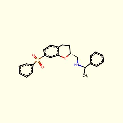 CC(NC[C@H]1CCc2ccc(S(=O)(=O)c3ccccc3)cc2O1)c1ccccc1